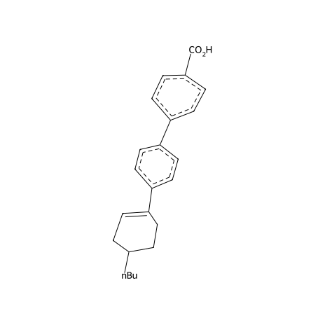 CCCCC1CC=C(c2ccc(-c3ccc(C(=O)O)cc3)cc2)CC1